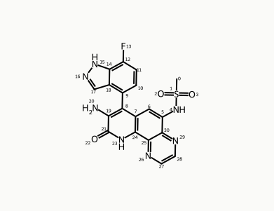 CS(=O)(=O)Nc1cc2c(-c3ccc(F)c4[nH]ncc34)c(N)c(=O)[nH]c2c2nccnc12